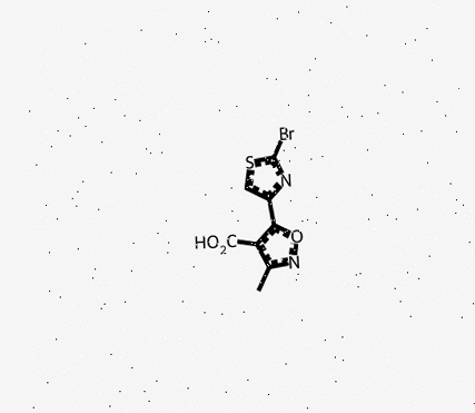 Cc1noc(-c2csc(Br)n2)c1C(=O)O